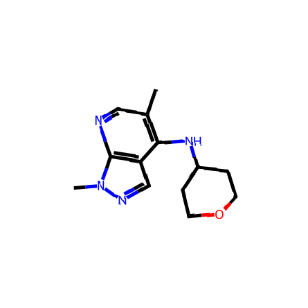 Cc1cnc2c(cnn2C)c1NC1CCOCC1